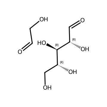 O=CCO.O=C[C@H](O)[C@H](O)[C@H](O)CO